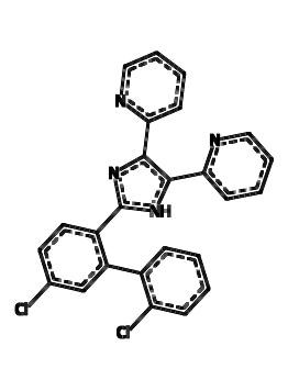 Clc1ccc(-c2nc(-c3ccccn3)c(-c3ccccn3)[nH]2)c(-c2ccccc2Cl)c1